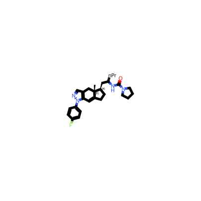 CCCC(C[C@H]1CCC2=Cc3c(cnn3-c3ccc(F)cc3)C[C@@]21C)NC(=O)N1CCCC1